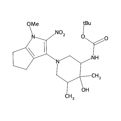 COn1c2c(c(N3CC(C)C(C)(O)C(NC(=O)OC(C)(C)C)C3)c1[N+](=O)[O-])CCC2